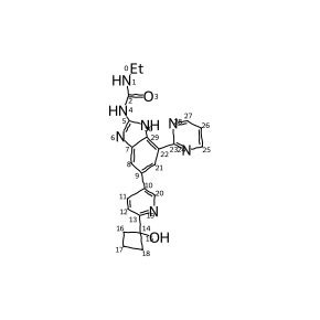 CCNC(=O)Nc1nc2cc(-c3ccc(C4(O)CCC4)nc3)cc(-c3ncccn3)c2[nH]1